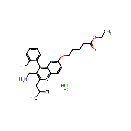 CCOC(=O)CCCCOc1ccc2nc(CC(C)C)c(CN)c(-c3ccccc3C)c2c1.Cl.Cl